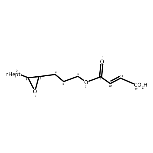 CCCCCCCC1OC1CCCOC(=O)C=CC(=O)O